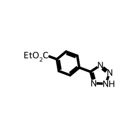 CCOC(=O)c1ccc(-c2nn[nH]n2)cc1